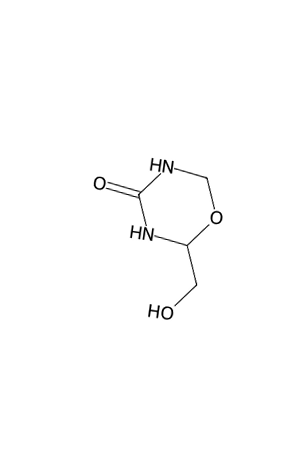 O=C1NCOC(CO)N1